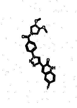 CO[C@H]1CN(C(=O)c2ccc(-n3cc(-c4cc5cc(F)ccc5[nH]c4=O)nn3)cc2)C[C@@H]1OC